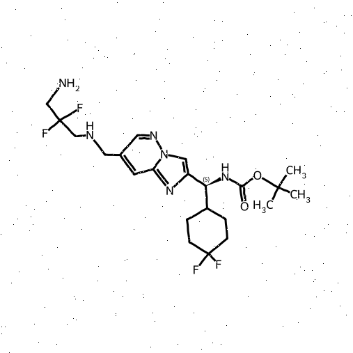 CC(C)(C)OC(=O)N[C@H](c1cn2ncc(CNCC(F)(F)CN)cc2n1)C1CCC(F)(F)CC1